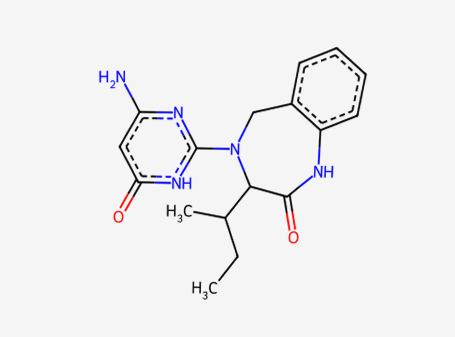 CCC(C)C1C(=O)Nc2ccccc2CN1c1nc(N)cc(=O)[nH]1